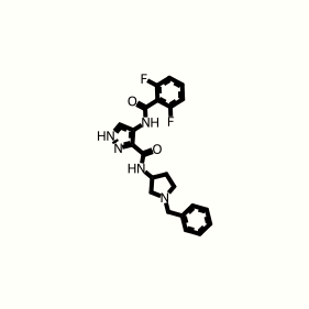 O=C(NC1CCN(Cc2ccccc2)C1)c1n[nH]cc1NC(=O)c1c(F)cccc1F